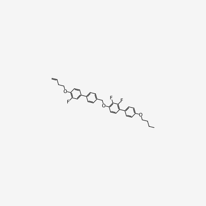 C=CCCOc1ccc(-c2ccc(COc3ccc(-c4ccc(OCCCC)cc4)c(F)c3F)cc2)cc1F